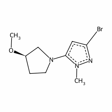 CO[C@@H]1CCN(c2cc(Br)nn2C)C1